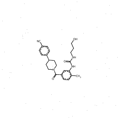 Cc1ccc(C(=O)N2CCC(c3ccc(C#N)cc3)CC2)cc1NC(=O)NCCCO